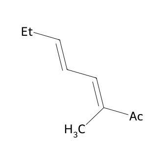 CCC=CC=C(C)C(C)=O